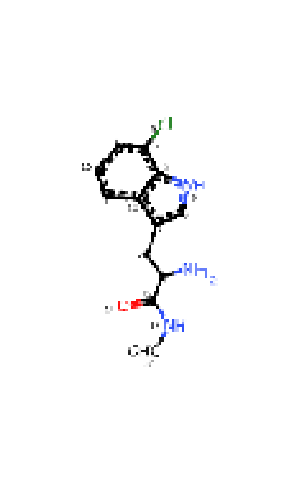 NC(Cc1c[nH]c2c(Cl)cccc12)C(=O)NC=O